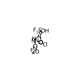 O=C(N1CCC(c2nnc3n2-c2ccc(Cl)cc2CN(C2CC(O)(C(F)(F)F)C2)C3)CC1)C1(F)CC1